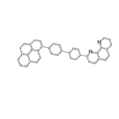 c1cnc2c(c1)ccc1ccc(-c3ccc(-c4ccc(-c5ccc6ccc7cccc8ccc5c6c78)cc4)cc3)nc12